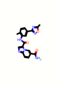 Cc1nc(-c2ccc(C)c(NC(=O)c3cnc4ccc(C(N)=O)cn34)c2)no1